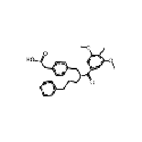 COc1cc(C(=O)C(CCCc2ccccc2)Cc2ccc(CC(=O)O)cc2)cc(OC)c1C